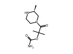 C[C@H]1CN(C(=O)C(C)(C)OC(N)=O)CCN1